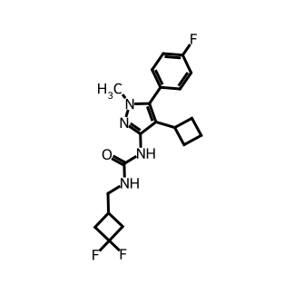 Cn1nc(NC(=O)NCC2CC(F)(F)C2)c(C2CCC2)c1-c1ccc(F)cc1